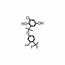 CCc1cc(OC(C)(C)c2cc(O)cc(Cl)c2O)ccc1C(F)(F)F